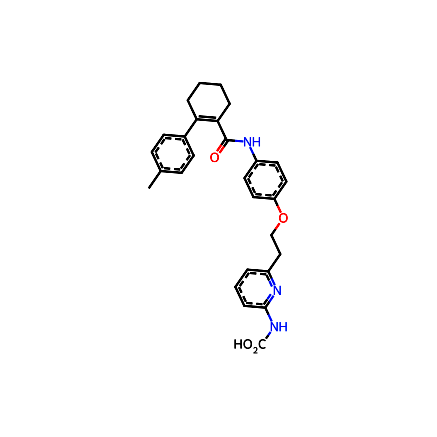 Cc1ccc(C2=C(C(=O)Nc3ccc(OCCc4cccc(NC(=O)O)n4)cc3)CCCC2)cc1